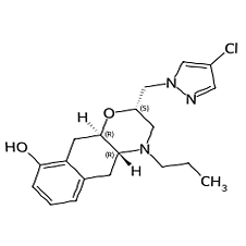 CCCN1C[C@@H](Cn2cc(Cl)cn2)O[C@@H]2Cc3c(O)cccc3C[C@H]21